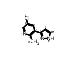 Cc1ncc(Cl)cc1-c1cc[nH]n1